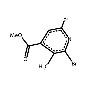 COC(=O)c1cc(Br)nc(Br)c1C